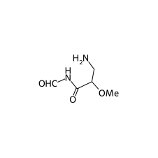 COC(CN)C(=O)NC=O